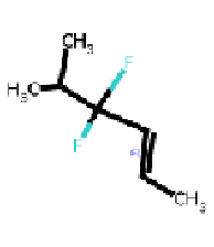 C/C=C/C(F)(F)C(C)C